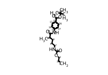 C=CCOC(=O)NCCC[C@H](C)C(=O)Nc1ccc(C(=O)OC(C)(C)C)cc1